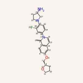 C=C1c2ccc(OC[C@H]3CCCO3)cc2C=CN1c1ccc(N2CCC(N)C2)c(F)c1